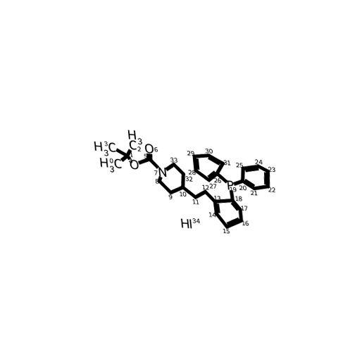 CC(C)(C)OC(=O)N1CCC(CCc2ccccc2P(c2ccccc2)c2ccccc2)CC1.I